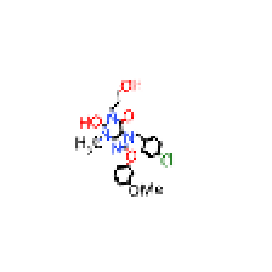 COc1cccc(Oc2nc3c(n2Cc2ccc(Cl)cc2)C(=O)N(CCCO)C(O)N3C)c1